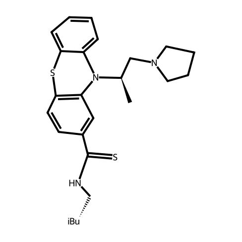 CC[C@@H](C)CNC(=S)c1ccc2c(c1)N([C@H](C)CN1CCCC1)c1ccccc1S2